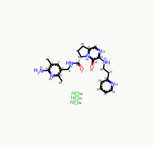 Cc1cc(CNC(=O)[C@@H]2CCc3cnc(NCCc4ccccn4)c(=O)n32)c(C)nc1N.Cl.Cl.Cl